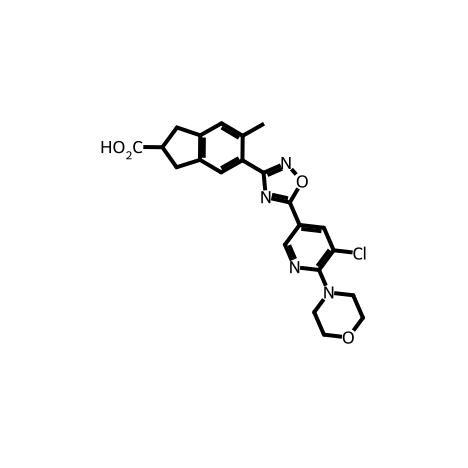 Cc1cc2c(cc1-c1noc(-c3cnc(N4CCOCC4)c(Cl)c3)n1)CC(C(=O)O)C2